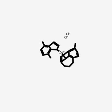 Cc1ccc(C)c2c1C=C[CH]2[Zr+2][CH]1C2=Cc3c(C)ccc(c31)CCC2.[Cl-].[Cl-]